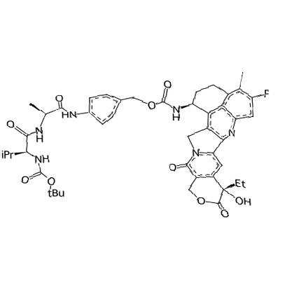 CC[C@@]1(O)C(=O)OCc2c1cc1n(c2=O)Cc2c-1nc1cc(F)c(C)c3c1c2[C@@H](NC(=O)OCc1ccc(NC(=O)[C@H](C)NC(=O)[C@@H](NC(=O)OC(C)(C)C)C(C)C)cc1)CC3